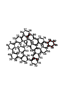 O=C(c1cc(-c2ccccc2-c2ccc(-c3ccccc3)cc2)cc(-c2cc(-c3ccccc3)ccc2-c2ccccc2)c1)c1cc(-c2ccccc2-c2ccc(-c3ccccc3)cc2)cc(-c2cc(-c3ccccc3)ccc2-c2ccccc2)c1